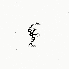 CCCCCCCCCCCCCCc1ccc(-c2ccc(-c3ccc(CCCCCCCCCCCCCC)s3)c(C#C[Si](C)(C)C)c2C#C[Si](C)(C)C)s1